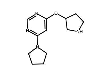 c1nc(OC2CCNC2)cc(N2CCCC2)n1